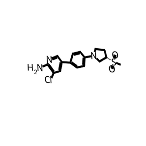 CS(=O)(=O)[C@H]1CCN(c2ccc(-c3cnc(N)c(Cl)c3)cc2)C1